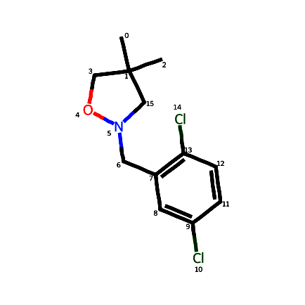 CC1(C)CON(Cc2cc(Cl)ccc2Cl)C1